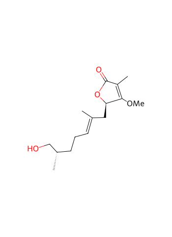 COC1=C(C)C(=O)O[C@@H]1C/C(C)=C/CC[C@H](C)CO